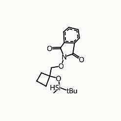 C[SiH](OC1(CON2C(=O)c3ccccc3C2=O)CCC1)C(C)(C)C